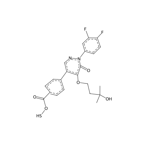 CC(C)(O)CCOc1c(-c2ccc(C(=O)OS)cc2)cnn(-c2ccc(F)c(F)c2)c1=O